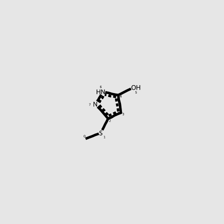 CSc1cc(O)[nH]n1